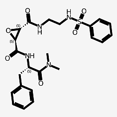 CN(C)C(=O)[C@H](Cc1ccccc1)NC(=O)[C@H]1O[C@@H]1C(=O)NCCNS(=O)(=O)c1ccccc1